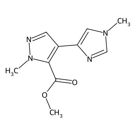 COC(=O)c1c(-c2cn(C)cn2)cnn1C